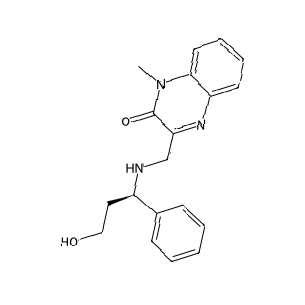 Cn1c(=O)c(CN[C@H](CCO)c2ccccc2)nc2ccccc21